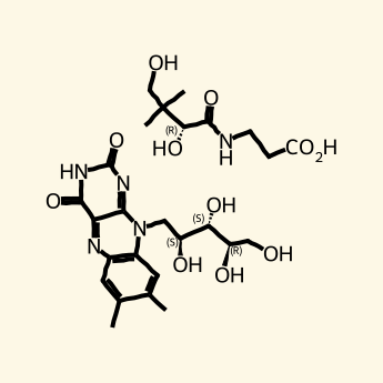 CC(C)(CO)[C@@H](O)C(=O)NCCC(=O)O.Cc1cc2nc3c(=O)[nH]c(=O)nc-3n(C[C@H](O)[C@H](O)[C@H](O)CO)c2cc1C